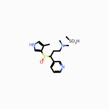 CS(=O)(=O)O.Cc1c[nH]cc1[S+]([O-])C(CCN(C)C)c1cccnc1